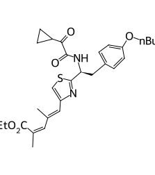 CCCCOc1ccc(C[C@H](NC(=O)C(=O)C2CC2)c2nc(/C=C(C)/C=C(/C)C(=O)OCC)cs2)cc1